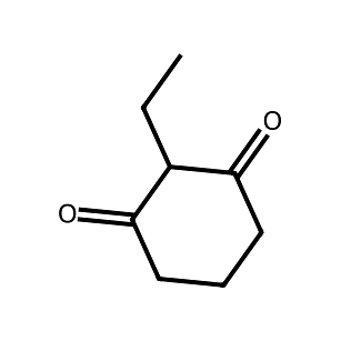 CCC1C(=O)CCCC1=O